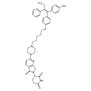 CCC(=C(c1ccc(O)cc1)c1ccc(OCCCCCN2CCN(c3ccc4c(n3)CN(C3CCC(=O)NC3=O)C4=O)CC2)cc1)c1ccccc1